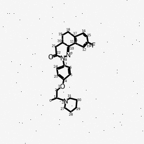 CC(COc1ccc(N2N=C3c4cc(F)ccc4CCC3CC2=O)cc1)N1CCCCC1